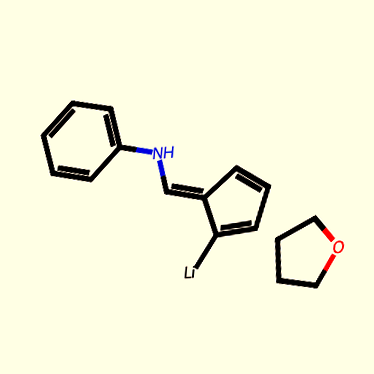 C1CCOC1.[Li][C]1=CC=CC1=CNc1ccccc1